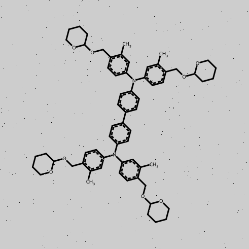 Cc1cc(N(c2ccc(-c3ccc(N(c4ccc(COC5CCCCO5)c(C)c4)c4ccc(COC5CCCCO5)c(C)c4)cc3)cc2)c2ccc(COC3CCCCO3)c(C)c2)ccc1COC1CCCCO1